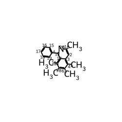 Cc1cc2c(C)c(C)c(C)c(C)c2c(-c2ccccc2)n1